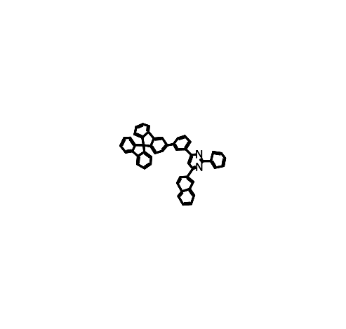 c1ccc(-c2nc(-c3cccc(-c4ccc5c(c4)-c4ccccc4C54c5ccccc5-c5ccccc54)c3)cc(-c3ccc4ccccc4c3)n2)cc1